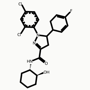 O=C(N[C@H]1CCCC[C@@H]1O)C1=NN(c2ccc(Cl)cc2Cl)C(C2C=CC(F)=CC2)C1